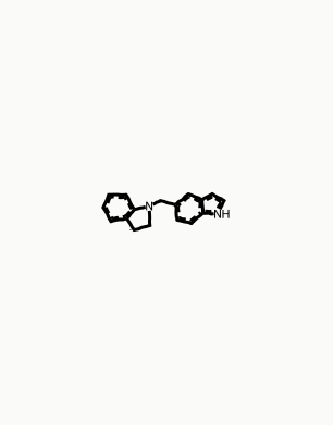 [CH]1CN(Cc2ccc3[nH]ccc3c2)c2ccccc21